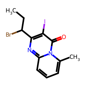 CCC(Br)c1nc2cccc(C)n2c(=O)c1I